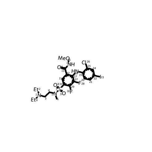 CCN(CC)CCN(C)S(=O)(=O)c1cc(C(=O)NOC)c(Nc2ccc(I)cc2Cl)c(F)c1F